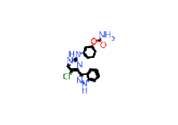 NC(=O)O[C@H]1CCC[C@@H](Nc2ncc(Cl)c(-c3n[nH]c4ccccc34)n2)C1